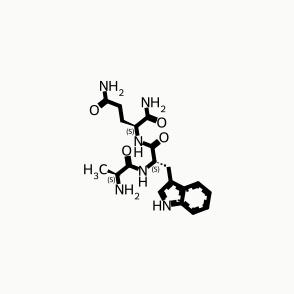 C[C@H](N)C(=O)N[C@@H](Cc1c[nH]c2ccccc12)C(=O)N[C@@H](CCC(N)=O)C(N)=O